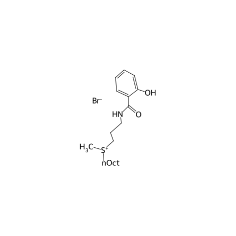 CCCCCCCC[S+](C)CCCNC(=O)c1ccccc1O.[Br-]